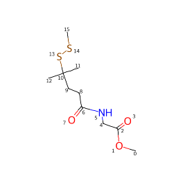 COC(=O)CNC(=O)CCC(C)(C)SSC